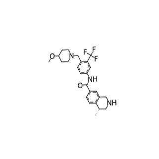 COC1CCN(Cc2ccc(NC(=O)c3ccc4c(c3)CNC[C@@H]4C)cc2C(F)(F)F)CC1